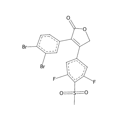 CS(=O)(=O)c1c(F)cc(C2=C(c3ccc(Br)c(Br)c3)C(=O)OC2)cc1F